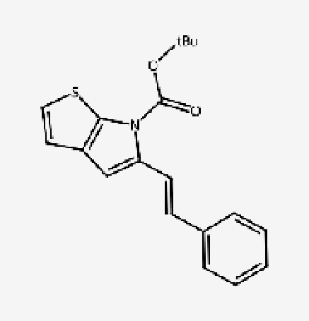 CC(C)(C)OC(=O)n1c(/C=C/c2ccccc2)cc2ccsc21